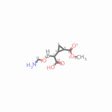 COC(=O)C1CC1C(BOCN)C(=O)O